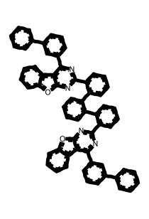 c1ccc(-c2cccc(-c3nc(-c4ccccc4-c4ccccc4-c4ccccc4-c4nc(-c5cccc(-c6ccccc6)c5)c5c(n4)oc4ccccc45)nc4oc5ccccc5c34)c2)cc1